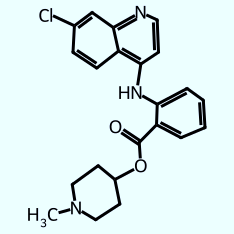 CN1CCC(OC(=O)c2ccccc2Nc2ccnc3cc(Cl)ccc23)CC1